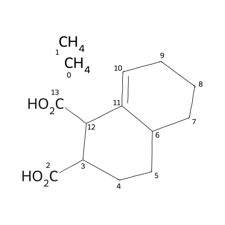 C.C.O=C(O)C1CCC2CCCC=C2C1C(=O)O